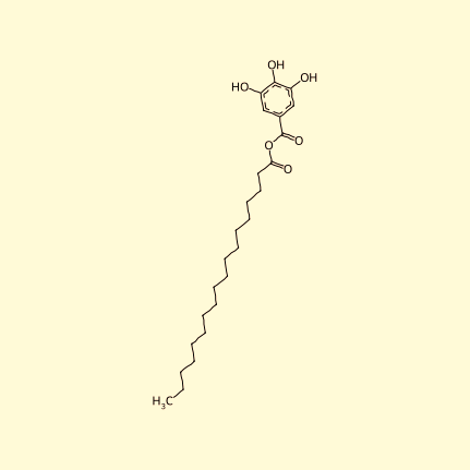 CCCCCCCCCCCCCCCCCC(=O)OC(=O)c1cc(O)c(O)c(O)c1